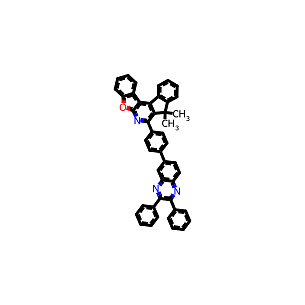 CC1(C)c2ccccc2-c2c1c(-c1ccc(-c3ccc4nc(-c5ccccc5)c(-c5ccccc5)nc4c3)cc1)nc1oc3ccccc3c21